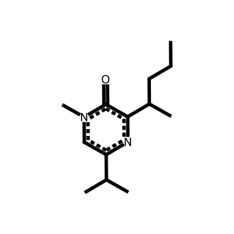 CCCC(C)c1nc(C(C)C)cn(C)c1=O